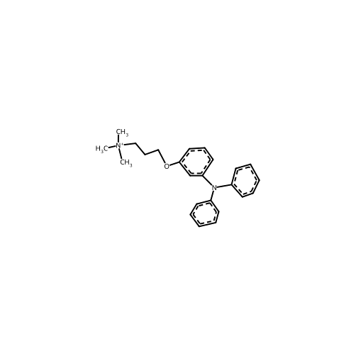 C[N+](C)(C)CCCOc1cccc(N(c2ccccc2)c2ccccc2)c1